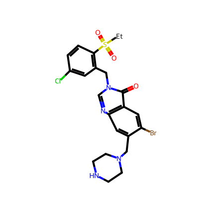 CCS(=O)(=O)c1ccc(Cl)cc1Cn1cnc2cc(CN3CCNCC3)c(Br)cc2c1=O